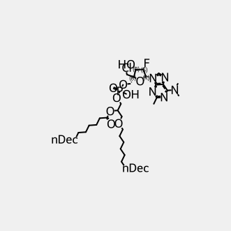 CCCCCCCCCCCCCCCCOCC(COP(=O)(O)OC[C@@]1(CCl)O[C@@H](n2cnc3c(N(C)C)nc(C)nc32)[C@@H](F)[C@@H]1O)OC(=O)CCCCCCCCCCCCCCC